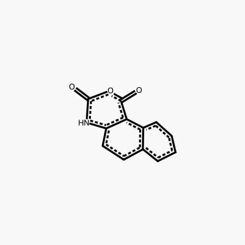 O=c1[nH]c2ccc3ccccc3c2c(=O)o1